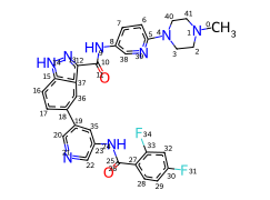 CN1CCN(c2ccc(NC(=O)c3n[nH]c4ccc(-c5cncc(NC(=O)c6ccc(F)cc6F)c5)cc34)cn2)CC1